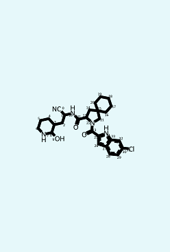 N#CC(CC1CCCNC1O)NC(=O)C1CC2(CCCCC2)CN1C(=O)c1cc2ccc(Cl)cc2[nH]1